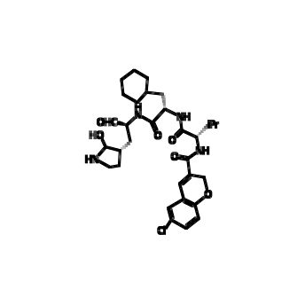 CC(C)[C@H](NC(=O)C1=Cc2cc(Cl)ccc2OC1)C(=O)N[C@@H](CC1CCCCC1)C(=O)N[C@H](C=O)C[C@@H]1CCNC1O